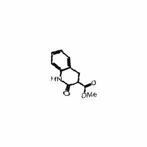 COC(=O)C1Cc2ccccc2NC1=O